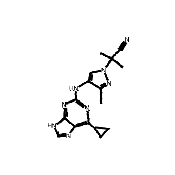 Cc1nn(C(C)(C)C#N)cc1Nc1nc(C2CC2)c2nc[nH]c2n1